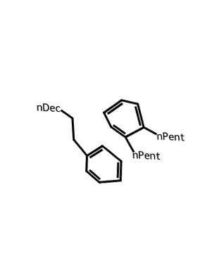 CCCCCCCCCCCCc1ccccc1.CCCCCc1ccccc1CCCCC